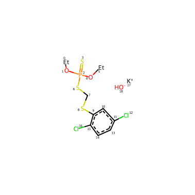 CCOP(=S)(OCC)SCSc1cc(Cl)ccc1Cl.[K+].[OH-]